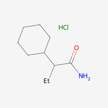 CCC(C(N)=O)C1CCCCC1.Cl